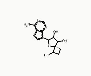 Nc1ncnc2c1ncn2C1O[C@@]2(CCC2O)C(O)C1O